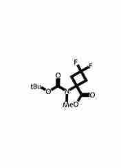 COC(=O)C1(N(C)C(=O)OC(C)(C)C)CC(F)(F)C1